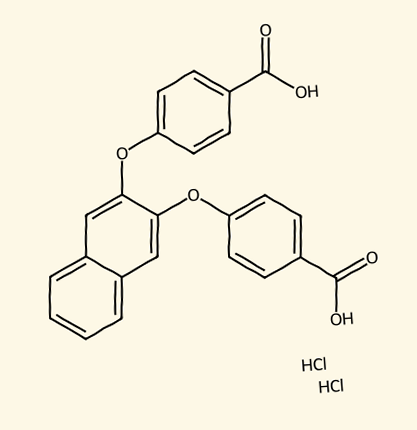 Cl.Cl.O=C(O)c1ccc(Oc2cc3ccccc3cc2Oc2ccc(C(=O)O)cc2)cc1